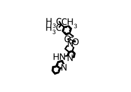 CC(C)(C)c1ccc(CS(=O)(=O)N2CCc3c(ccnc3Nc3cnc4ccccc4c3)C2)cc1